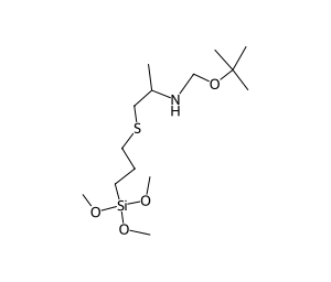 CO[Si](CCCSCC(C)NCOC(C)(C)C)(OC)OC